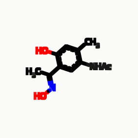 CC(=O)Nc1cc(C(C)=NO)c(O)cc1C